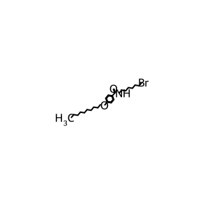 CCCCCCCCCCOc1ccc(C(=O)NCCCCCCBr)cc1